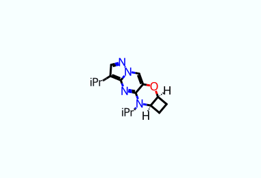 CC(C)c1cnn2cc3c(nc12)N(C(C)C)[C@@H]1CC[C@@H]1O3